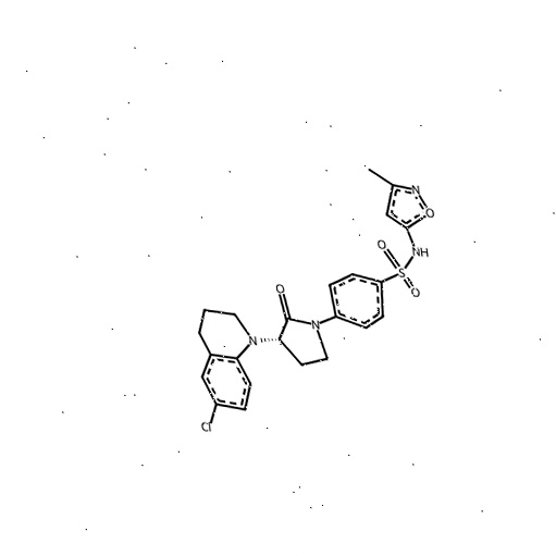 Cc1cc(NS(=O)(=O)c2ccc(N3CC[C@H](N4CCCc5cc(Cl)ccc54)C3=O)cc2)on1